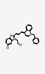 [O-]CC[n+]1c(/C=C/C=C2\C=CN(Cc3ccccc3)c3ccccc32)sc2ccc(Cl)cc21